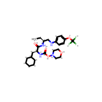 CC[C@@H](CNc1ccc(OC(F)(F)F)cc1)NC(=O)[C@H](CC1CCCCC1)NC(=O)ON1CCOCC1